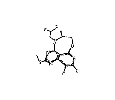 CSc1nc2c3c(nc(Cl)c(F)c3n1)OC[C@H](C)N2CC(F)F